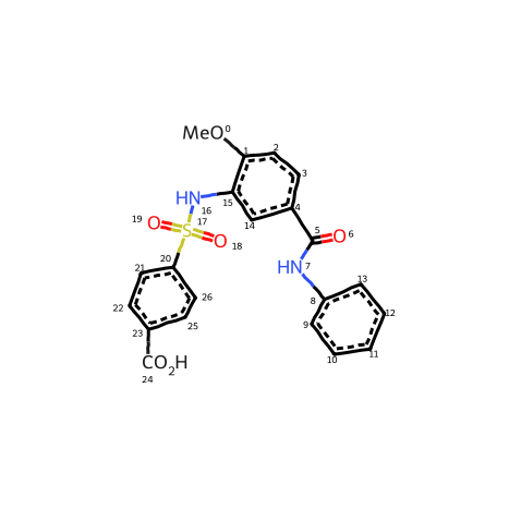 COc1ccc(C(=O)Nc2ccccc2)cc1NS(=O)(=O)c1ccc(C(=O)O)cc1